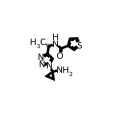 C[C@H](NC(=O)c1ccsc1)c1cn(C2(N)CC2)nn1